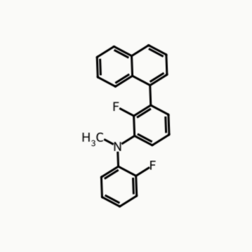 CN(c1ccccc1F)c1cccc(-c2cccc3ccccc23)c1F